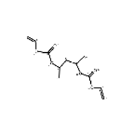 C=COC(=O)OC(C)CC(C)OC(=O)OC=C